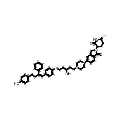 O=C1CCC(N2Cc3cc(N4CCN(CCC(O)CCOc5ccc(/C=C(/CCc6ccc(O)cc6)c6ccccc6)cc5)CC4)ccc3C2=O)C(=O)N1